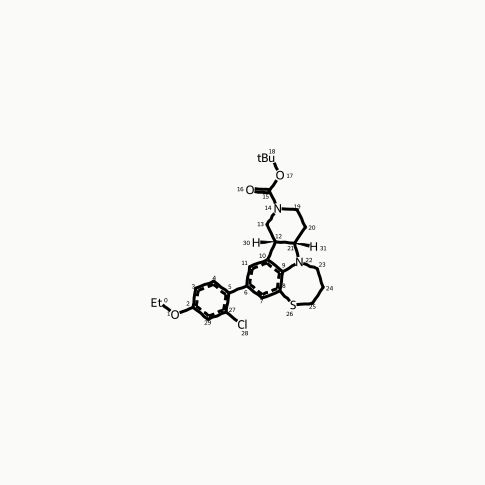 CCOc1ccc(-c2cc3c4c(c2)[C@@H]2CN(C(=O)OC(C)(C)C)CC[C@@H]2N4CCCS3)c(Cl)c1